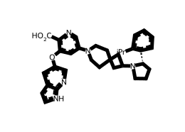 CC(C)c1ccccc1[C@@H]1CCCN1C1CC2(CCN(c3cnc(C(=O)O)c(Oc4cnc5[nH]ccc5c4)c3)CC2)C1